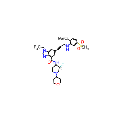 COc1ccc(S(C)(=O)=O)cc1NCC#Cc1cc(C(=O)N[C@H]2CCN(C3CCOCC3)C[C@@H]2F)c2ncn(CC(F)(F)F)c2c1